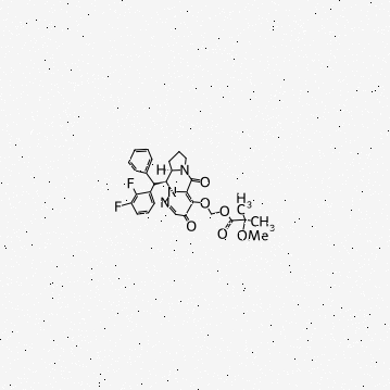 COC(C)(C)C(=O)OCOc1c2n(ncc1=O)[C@@H](C(c1ccccc1)c1cccc(F)c1F)[C@H]1CCCN1C2=O